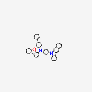 c1ccc(-c2ccc(N(c3ccc(-n4c5ccccc5c5cc6ccccc6cc54)cc3)c3cccc4c3oc3ccccc34)cc2)cc1